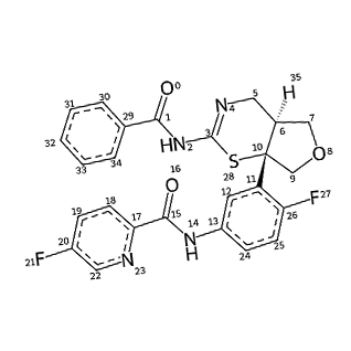 O=C(NC1=NC[C@H]2COC[C@]2(c2cc(NC(=O)c3ccc(F)cn3)ccc2F)S1)c1ccccc1